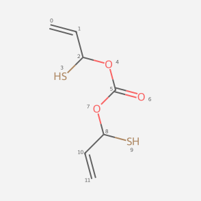 C=CC(S)OC(=O)OC(S)C=C